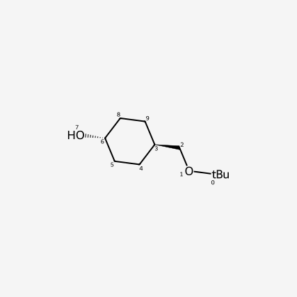 CC(C)(C)OC[C@H]1CC[C@H](O)CC1